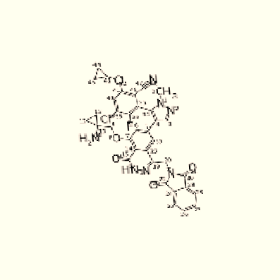 Cn1ncc(-c2cc(OCC3(N)CC3)c3c(=O)[nH]nc(CN4C(=O)c5ccccc5C4=O)c3c2)c1-c1c(F)c(Cl)cc(OC2CC2)c1C#N